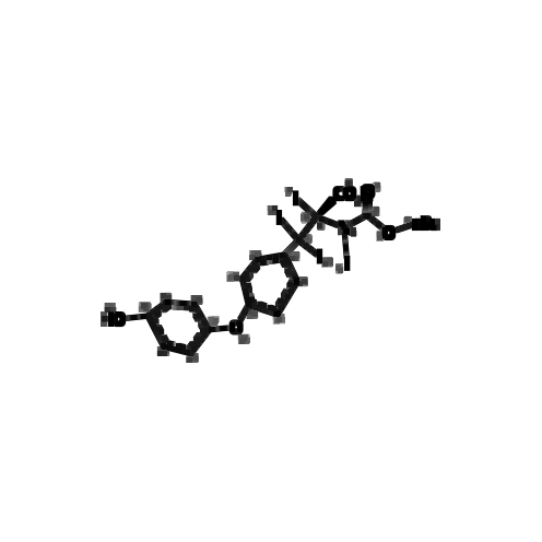 CCCCOC(=O)N(I)[C@](I)(C(=O)O)C(I)(I)c1ccc(Oc2ccc(O)cc2)cc1